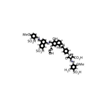 COc1ccc(/N=N/c2ccc(/N=N/c3c(SOOO)cc4c(ccc5nc(-c6ccc(N7N=C(C(=O)O)C(/N=N/c8cc(C)c(S(=O)(=O)O)cc8OC)C7=O)cc6)[nH]c54)c3O)c3cc(S(=O)(=O)O)ccc23)c(S(=O)(=O)O)c1